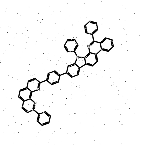 c1ccc(-c2ccc3ccc4ccc(-c5ccc(-c6ccc7c8ccc9c%10ccccc%10c(-c%10ccccc%10)nc9c8n(-c8ccccc8)c7c6)cc5)nc4c3n2)cc1